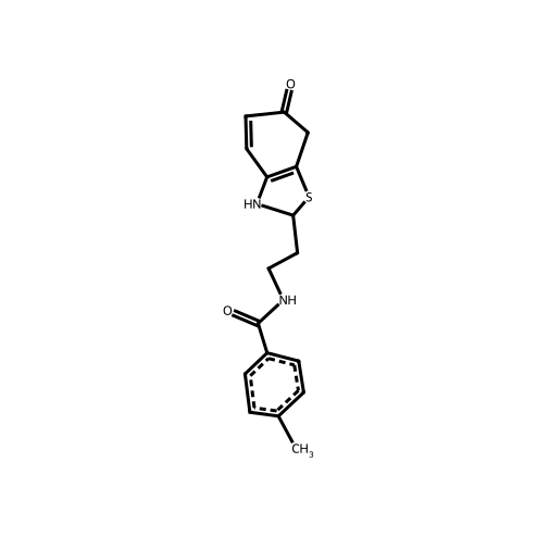 Cc1ccc(C(=O)NCCC2NC3=C(CC(=O)C=C3)S2)cc1